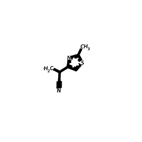 [CH2]C(C#N)c1csc(C)n1